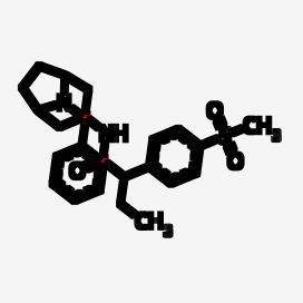 CCC(C(=O)NC1CC2CCC(C1)N2Cc1ccccc1)c1ccc(S(C)(=O)=O)cc1